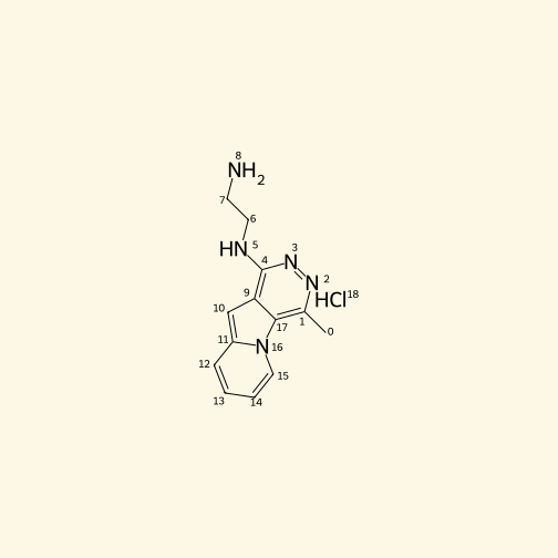 Cc1nnc(NCCN)c2cc3ccccn3c12.Cl